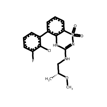 CO[C@H](C)CNC1=NS(=O)(=O)c2cccc(-c3cccc(F)c3Cl)c2N1